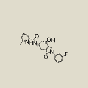 Cc1cccc(C(=O)N[C@H]2CC3=C(CN(c4cccc(F)c4)C3=O)[C@H](O)C2)n1